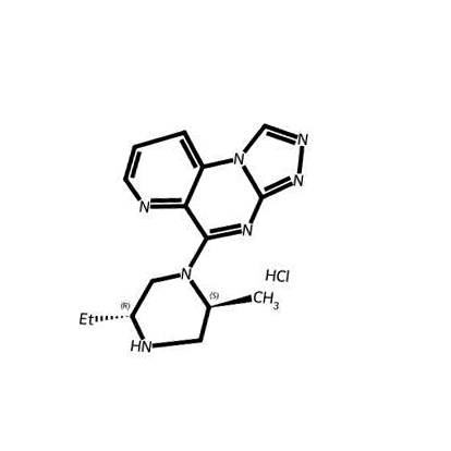 CC[C@@H]1CN(c2nc3nncn3c3cccnc23)[C@@H](C)CN1.Cl